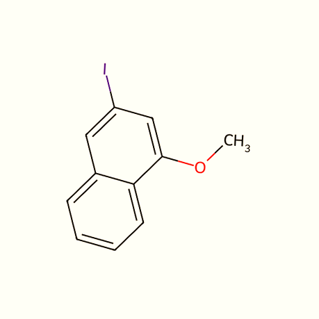 COc1cc(I)cc2ccccc12